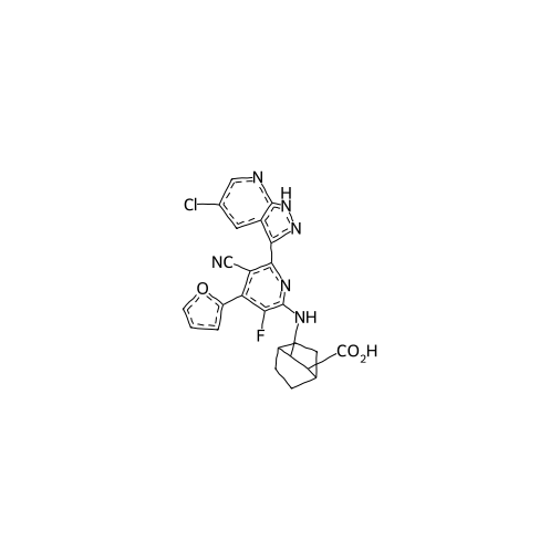 N#Cc1c(-c2n[nH]c3ncc(Cl)cc23)nc(NC2C3CCC(CC3)C2C(=O)O)c(F)c1-c1ccco1